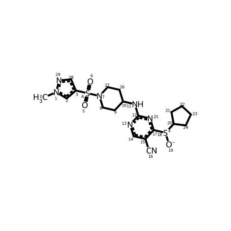 Cn1cc(S(=O)(=O)N2CCC(Nc3ncc(C#N)c([S+]([O-])C4CCCC4)n3)CC2)cn1